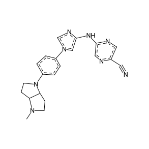 CN1CCC2C1CCN2c1ccc(-n2cnc(Nc3cnc(C#N)cn3)c2)cc1